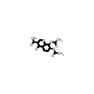 CC(=O)Oc1ccc2c(=O)c(C(=O)O)coc2c1OC(C)=O